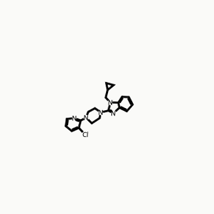 Clc1cccnc1N1CCN(c2nc3ccccc3n2CC2CC2)CC1